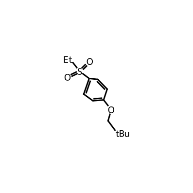 CCS(=O)(=O)c1ccc(OCC(C)(C)C)cc1